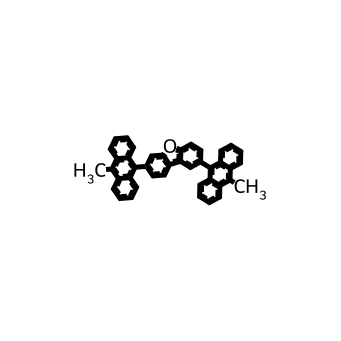 Cc1c2ccccc2c(-c2ccc3c(c2)oc2ccc(-c4c5ccccc5c(C)c5ccccc45)cc23)c2ccccc12